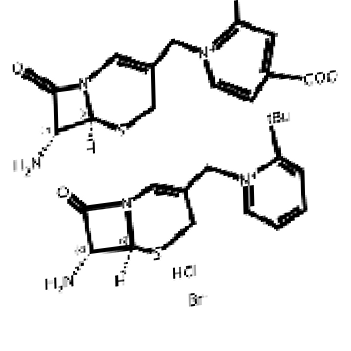 CC(C)(C)c1cc(C(=O)[O-])cc[n+]1CC1=CN2C(=O)[C@@H](N)[C@@H]2SC1.CC(C)(C)c1cccc[n+]1CC1=CN2C(=O)[C@@H](N)[C@@H]2SC1.Cl.[Br-]